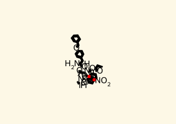 CC(C)CN(C[C@@H](OC(=O)[C@@H](N)Cc1ccc(OCc2ccccc2)cc1)[C@H](Cc1ccccc1)NC(=O)O[C@H]1CCOC1)S(=O)(=O)c1ccc([N+](=O)[O-])cc1